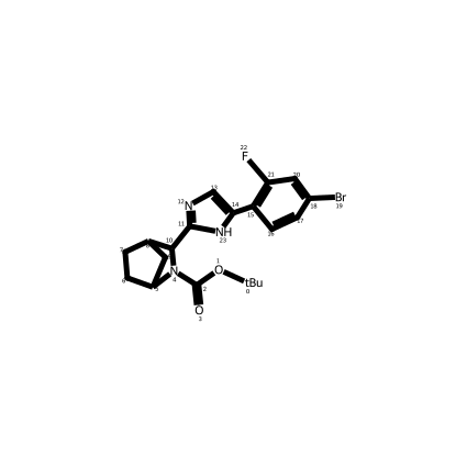 CC(C)(C)OC(=O)N1C2CCC(C2)C1c1ncc(-c2ccc(Br)cc2F)[nH]1